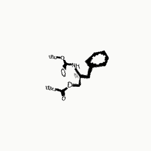 CC(C)(C)OC(=O)N[C@H](COC(=O)C(C)(C)C)Cc1ccccc1